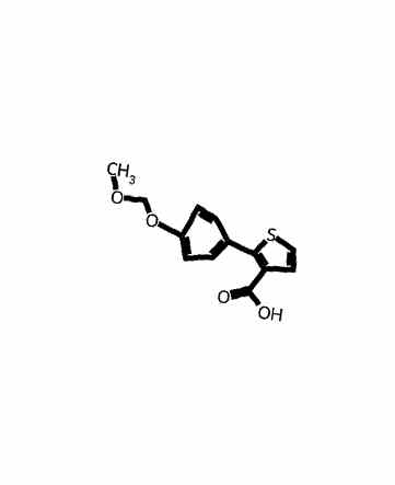 COCOc1ccc(-c2sccc2C(=O)O)cc1